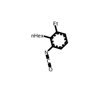 CCCCCCc1c(CC)cccc1N=C=O